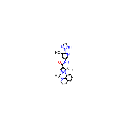 CN1CCCc2cccc(-n3ncc(C(=O)Nc4cnc(N5N=CCN5)c(C#N)c4)c3C(F)(F)F)c21